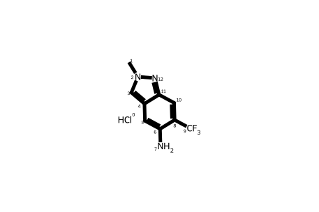 Cl.Cn1cc2cc(N)c(C(F)(F)F)cc2n1